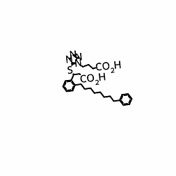 O=C(O)CCCn1nnnc1SC(CC(=O)O)c1ccccc1CCCCCCCCc1ccccc1